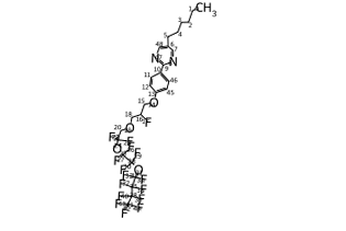 CCCCCCc1cnc(-c2ccc(OCC(F)COCC(F)(F)OC(F)(F)C(F)(F)OC(F)(F)C(F)(F)C(F)(F)C(F)(F)F)cc2)nc1